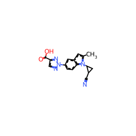 Cc1cc2cc(-n3ncc(C(=O)O)n3)ccc2n1C1CC1C#N